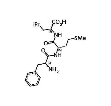 CSCC[C@H](NC(=O)[C@@H](N)Cc1ccccc1)C(=O)N[C@@H](CC(C)C)C(=O)O